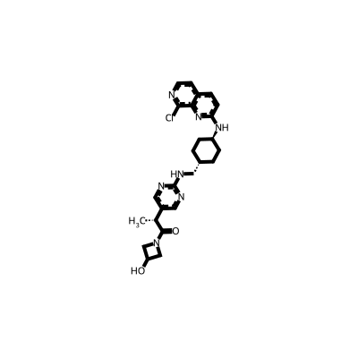 C[C@@H](C(=O)N1CC(O)C1)c1cnc(NC[C@H]2CC[C@H](Nc3ccc4ccnc(Cl)c4n3)CC2)nc1